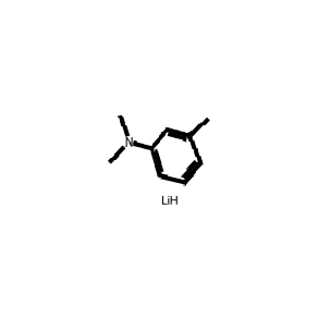 Cc1cccc(N(C)C)c1.[LiH]